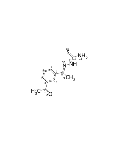 CC(=O)c1cccc(C(C)=NNC(N)=S)c1